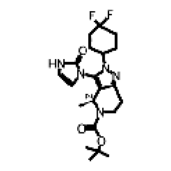 C[C@H]1c2c(nn(C3CCC(F)(F)CC3)c2-n2cc[nH]c2=O)CCN1C(=O)OC(C)(C)C